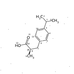 CC(C)c1ccc(C[C@@H](C)C(=O)O)cc1